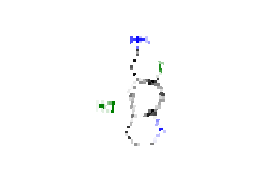 CN1CCCc2cc(CCN)c(F)cc21.Cl